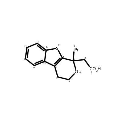 CC(C)C1(CC(=O)O)OCCc2c1sc1ccccc21